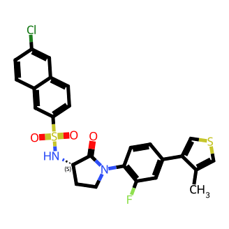 Cc1cscc1-c1ccc(N2CC[C@H](NS(=O)(=O)c3ccc4cc(Cl)ccc4c3)C2=O)c(F)c1